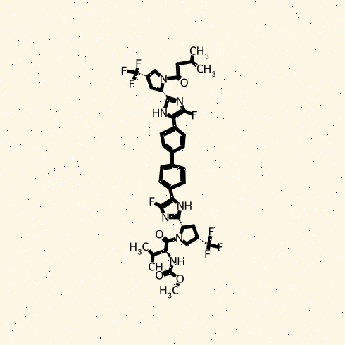 COC(=O)N[C@H](C(=O)N1C[C@@H](C(F)(F)F)C[C@H]1c1nc(F)c(-c2ccc(-c3ccc(-c4[nH]c([C@@H]5C[C@H](C(F)(F)F)CN5C(=O)CC(C)C)nc4F)cc3)cc2)[nH]1)C(C)C